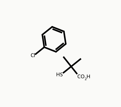 CC(C)(S)C(=O)O.Clc1ccccc1